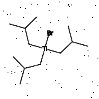 CC(C)[CH2][Ti]([Br])([CH2]C(C)C)[CH2]C(C)C